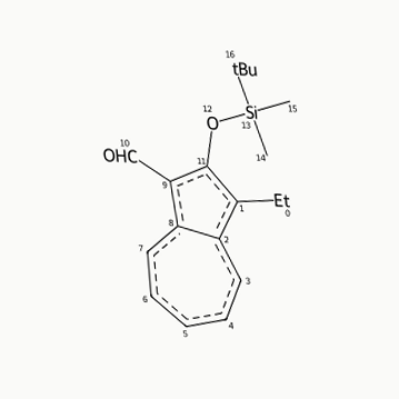 CCc1c2cccccc-2c(C=O)c1O[Si](C)(C)C(C)(C)C